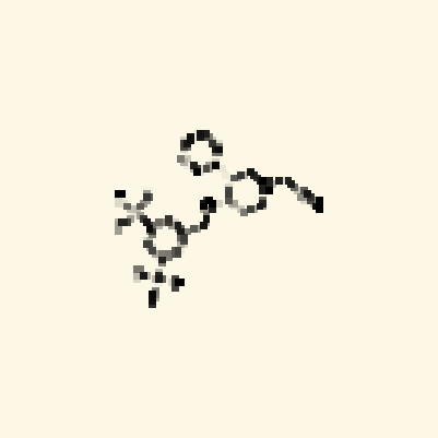 N#CCN1CC[C@H](OCc2cc(C(F)(F)F)cc(C(F)(F)F)c2)[C@H](c2ccccc2)C1